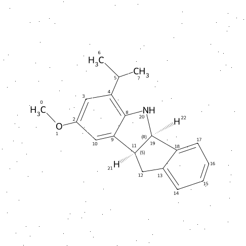 COc1cc(C(C)C)c2c(c1)[C@@H]1Cc3ccccc3[C@@H]1N2